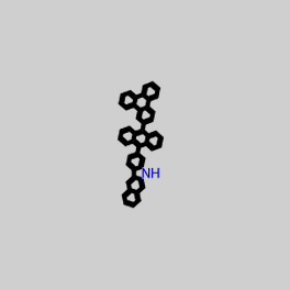 c1ccc2cc3c(cc2c1)[nH]c1cc(-c2c4ccccc4c(-c4ccc5c6ccccc6c6ccccc6c5c4)c4ccccc24)ccc13